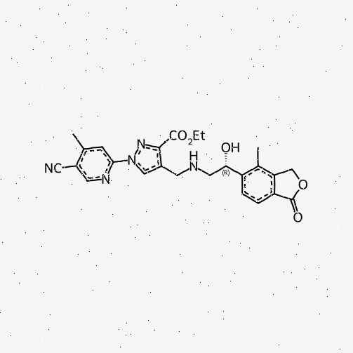 CCOC(=O)c1nn(-c2cc(C)c(C#N)cn2)cc1CNC[C@H](O)c1ccc2c(c1C)COC2=O